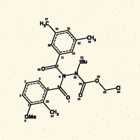 COc1cccc(C(=O)N(C(=O)c2cc(C)cc(C)c2)N(C(=O)OCCl)C(C)(C)C)c1C